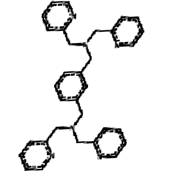 c1ccc(CN(Cc2cccc(CN(Cc3ccccn3)Cc3ccccn3)c2)Cc2ccccn2)nc1